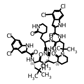 CC(C)(C)C[C@H](NC(=O)c1cc2c(Cl)cc(Cl)cc2[nH]1)C(=O)N[C@H](C#N)C[C@@H]1CCCN(C(C)(C)CC(NC(=O)c2cc3c(Cl)cc(Cl)cc3[nH]2)C(=O)NC(C#N)CC2CCCNC2=O)C1=O